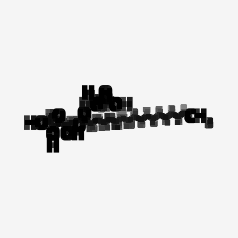 CCCCCCCCCCCCCCCCCC(=O)OC[C@@H](O)[C@H]1OC[C@H](O)[C@H]1O.O.O.OCCO